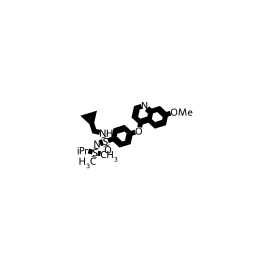 COc1ccc2c(Oc3ccc(S(=O)(=NS(C)(C)C(C)C)NCC4CC4)cc3)ccnc2c1